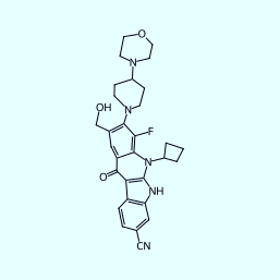 N#Cc1ccc2c(c1)[nH]c1c2c(=O)c2cc(CO)c(N3CCC(N4CCOCC4)CC3)c(F)c2n1C1CCC1